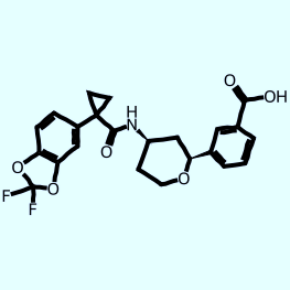 O=C(O)c1cccc([C@@H]2C[C@H](NC(=O)C3(c4ccc5c(c4)OC(F)(F)O5)CC3)CCO2)c1